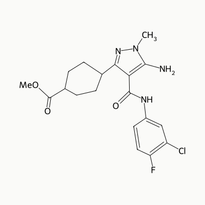 COC(=O)C1CCC(c2nn(C)c(N)c2C(=O)Nc2ccc(F)c(Cl)c2)CC1